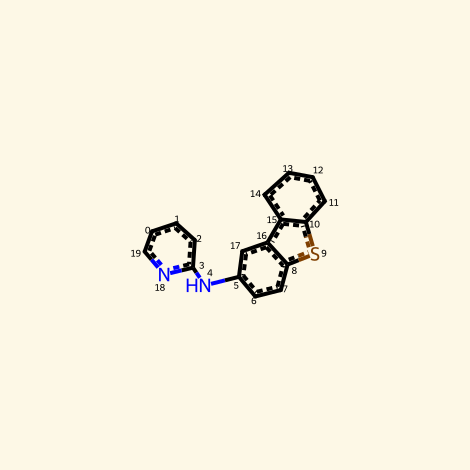 c1ccc(Nc2ccc3sc4ccccc4c3c2)nc1